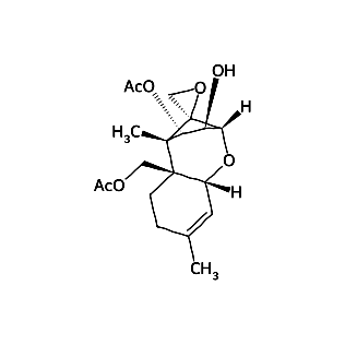 CC(=O)OC[C@]12CCC(C)=C[C@H]1O[C@@H]1[C@H](O)[C@@H](OC(C)=O)[C@@]2(C)[C@]12CO2